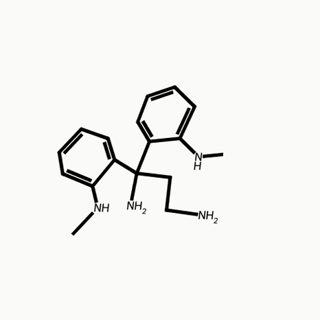 CNc1ccccc1C(N)(CCN)c1ccccc1NC